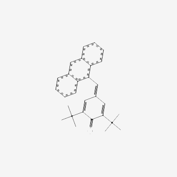 CC(C)(C)C1=CC(=Cc2c3ccccc3cc3ccccc23)C=C(C(C)(C)C)C1=O